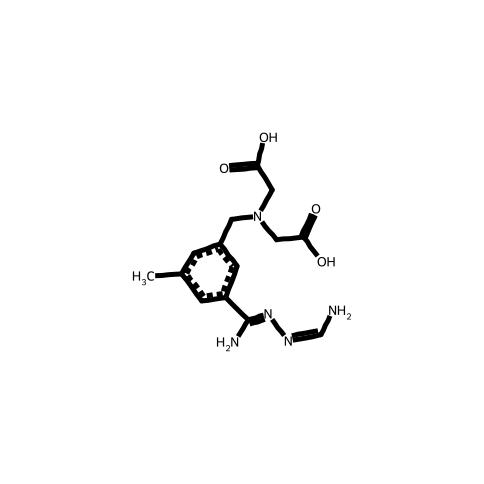 Cc1cc(CN(CC(=O)O)CC(=O)O)cc(/C(N)=N/N=C\N)c1